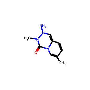 CC1=CN2C(=O)N(C)N(N)C=C2C=C1